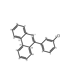 Clc1cccc(-c2nc3ccccc3c3ccccc23)c1